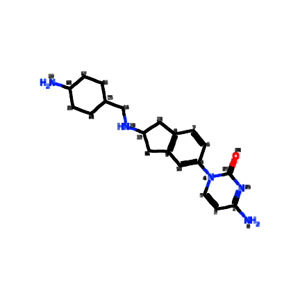 Nc1ccn(-c2ccc3c(c2)CC(NCC2CCC(N)CC2)C3)c(=O)n1